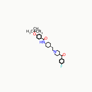 CC(C)(C)Oc1ccc(C(=O)N[C@H]2CC[C@H](CCN3CCC(C(=O)c4ccc(F)cc4)CC3)CC2)cc1